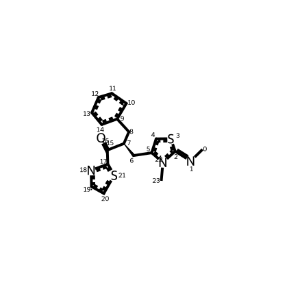 CN=c1scc(C[C@H](Cc2ccccc2)C(=O)c2n[c]cs2)n1C